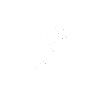 NC(=O)CN(CCc1c[nH]c2ccccc12)C(=O)CCCC(=O)N1CCCC2CCCCC21